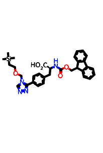 C[Si](C)(C)CCOCn1cnnc1-c1ccc(C[C@H](NC(=O)OCC2c3ccccc3-c3ccccc32)C(=O)O)cc1